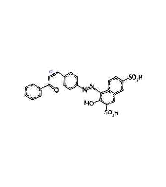 O=C(/C=C\c1ccc(N=Nc2c(O)c(S(=O)(=O)O)cc3cc(S(=O)(=O)O)ccc23)cc1)c1ccccc1